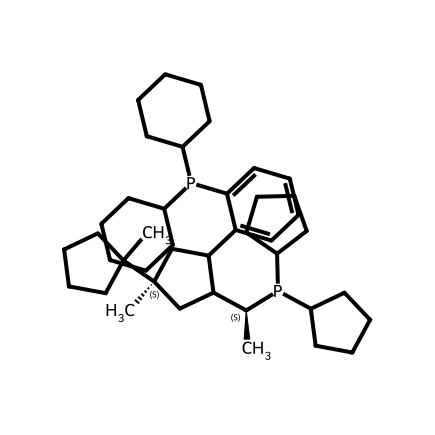 C[C@@H](C1C[C@@](C)(C2(C)CCCC2)CC1c1ccccc1P(C1CCCCC1)C1CCCCC1)P(C1CCCC1)C1CCCC1